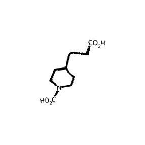 O=C(O)CCC1CCN(C(=O)O)CC1